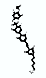 CCCCCCC1=CC(F)C(C#Cc2cc(F)c(-c3cc(F)c(C(F)(F)Oc4cc(F)c(OC(F)(F)F)c(F)c4)c(F)c3)c(F)c2)C(F)=C1